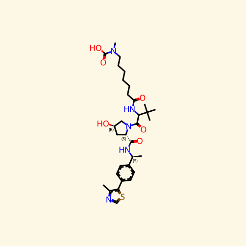 Cc1ncsc1-c1ccc([C@H](C)NC(=O)[C@@H]2C[C@@H](O)CN2C(=O)C(NC(=O)CCCCCCN(C)C(=O)O)C(C)(C)C)cc1